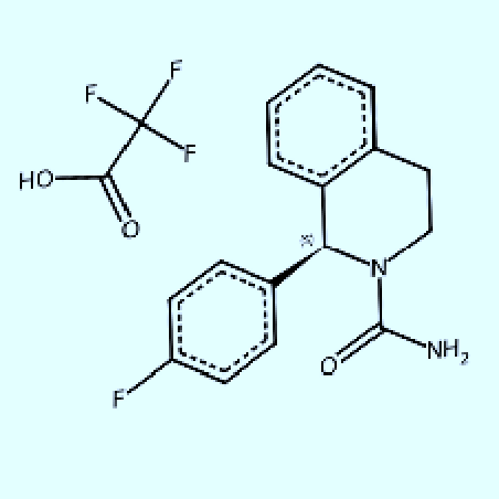 NC(=O)N1CCc2ccccc2[C@@H]1c1ccc(F)cc1.O=C(O)C(F)(F)F